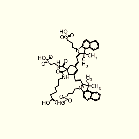 CC1(C)C(/C=C/C2=CC(=C/C=C3/N(CCCS(=O)(=O)O)c4ccc5ccccc5c4C3(C)C)/CC(C(=O)NCCCCCC(=O)O)(C(=O)NCCS(=O)(=O)O)C2)=[N+](CCCS(=O)(=O)O)c2ccc3ccccc3c21